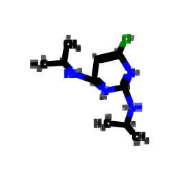 CC(C)Nc1cc(Cl)nc(NC(C)C)n1